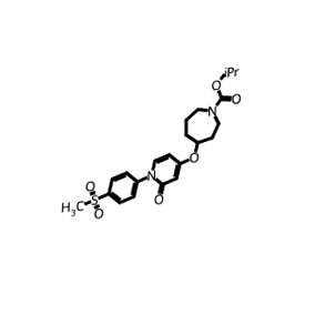 CC(C)OC(=O)N1CCCC(Oc2ccn(-c3ccc(S(C)(=O)=O)cc3)c(=O)c2)CC1